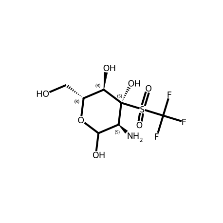 N[C@H]1C(O)O[C@H](CO)[C@@H](O)[C@@]1(O)S(=O)(=O)C(F)(F)F